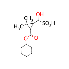 CC1(C)C(C(=O)OC2CCCCC2)C1C(O)S(=O)(=O)O